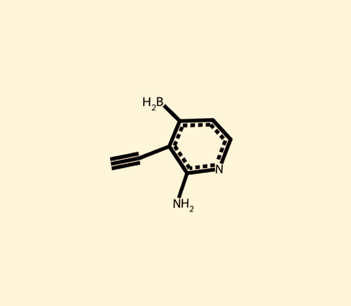 Bc1ccnc(N)c1C#C